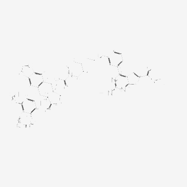 CCNC(=O)c1cc2c(-c3cccc(OCCC4CCN(C(=O)O[C@H]5c6cc7c(cc6[C@@H](c6cc(OC)c(OC)c(OC)c6)[C@H]6C(=O)OCC56)OCO7)CC4)c3)nc(N)nc2s1